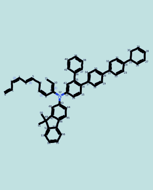 C=C/C=C\C=C\C/C=C\C(=C/C)N(c1ccc(-c2ccc(-c3ccc(C4C=CC=CC4)cc3)cc2)c(-c2ccccc2)c1)c1ccc2c(c1)C(C)(C)c1ccccc1-2